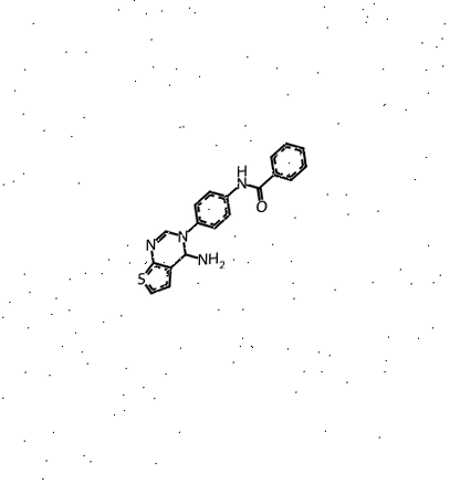 NC1c2ccsc2N=CN1c1ccc(NC(=O)c2ccccc2)cc1